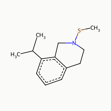 CSN1CCc2cccc(C(C)C)c2C1